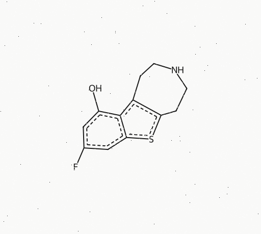 Oc1cc(F)cc2sc3c(c12)CCNCC3